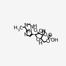 Cc1ncnn2c([C@@H]3O[C@@H]4COP(=O)(O)O[C@H]4[C@]3(O)C#N)cnc12